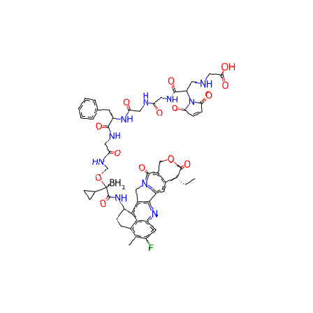 BC(OCNC(=O)CNC(=O)C(Cc1ccccc1)NC(=O)CNC(=O)CNC(=O)C(CNCC(=O)O)N1C(=O)C=CC1=O)(C(=O)NC1CCc2c(C)c(F)cc3nc4c(c1c23)Cn1c-4cc2c(c1=O)COC(=O)[C@@H]2CC)C1CC1